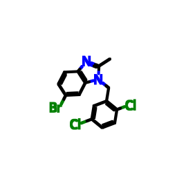 Cc1nc2ccc(Br)cc2n1Cc1cc(Cl)ccc1Cl